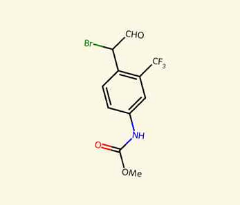 COC(=O)Nc1ccc(C(Br)C=O)c(C(F)(F)F)c1